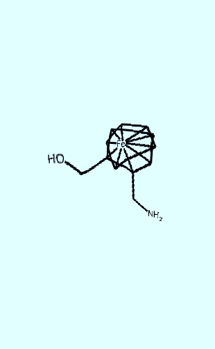 NC[C]12[CH]3[CH]4[CH]5[C]1(CO)[Fe]43521678[CH]2[CH]1[CH]6[CH]7[CH]28